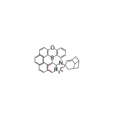 CC1(N2c3cccc4c3B(c3c(cccc3-c3ccccc3)O4)c3c(-c4ccccc4)cccc32)C=C2CC3CC(C1)C23